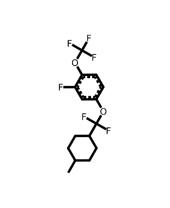 CC1CCC(C(F)(F)Oc2ccc(OC(F)(F)F)c(F)c2)CC1